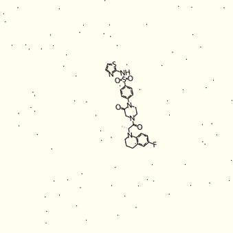 C[C@H](C(=O)N1CCN(c2ccc(S(=O)(=O)Nc3nccs3)cc2)C(=O)C1)N1CCCc2cc(F)ccc21